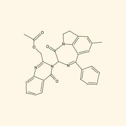 CC(=O)OCc1nc2ccccc2c(=O)n1C1N=C(c2ccccc2)c2cc(C)cc3c2N(CC3)C1=O